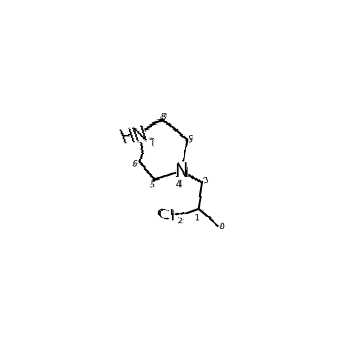 CC(Cl)CN1CCNCC1